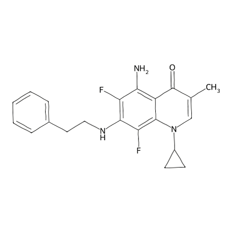 Cc1cn(C2CC2)c2c(F)c(NCCc3ccccc3)c(F)c(N)c2c1=O